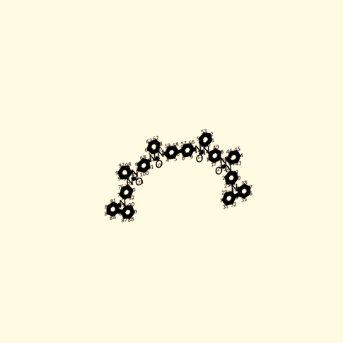 O=c1n(-c2ccc(-c3ccc(-n4c(=O)n(-c5ccc(-n6c(=O)n(-c7ccc(-n8c9ccccc9c9ccccc98)cc7)c7ccccc76)cc5)c5ccccc54)cc3)cc2)c2ccccc2n1-c1ccc(-n2c(=O)n(-c3ccc(-n4c5ccccc5c5ccccc54)cc3)c3ccccc32)cc1